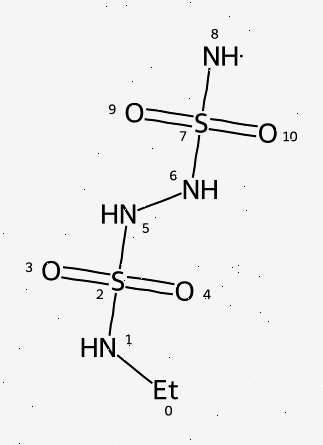 CCNS(=O)(=O)NNS([NH])(=O)=O